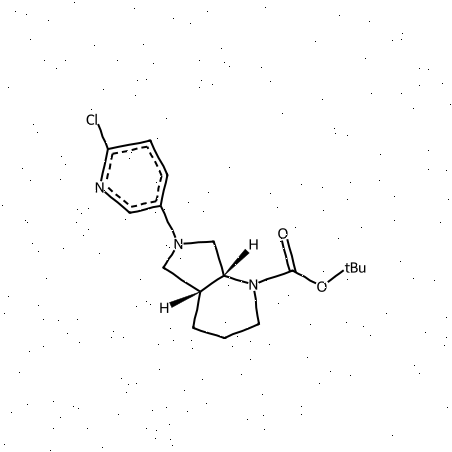 CC(C)(C)OC(=O)N1CCC[C@@H]2CN(c3ccc(Cl)nc3)C[C@@H]21